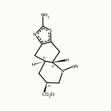 CCCN1C[C@@H](C(=O)OCC)C[C@H]2Cc3nc(N)sc3C[C@@H]21